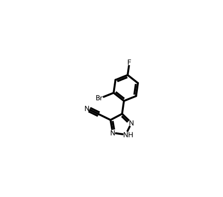 N#Cc1n[nH]nc1-c1ccc(F)cc1Br